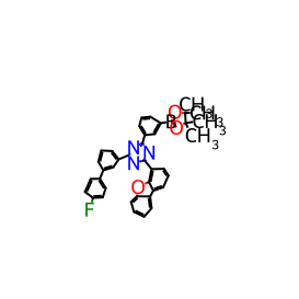 CC1(C)OB(c2cccc(-c3nc(-c4cccc(-c5ccc(F)cc5)c4)nc(-c4cccc5c4oc4ccccc45)n3)c2)OC1(C)C